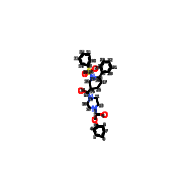 O=C(Oc1ccccc1)N1CCN(C(=O)[C@@H]2CC[C@H](c3ccccc3)N(S(=O)(=O)c3ccccc3)C2)CC1